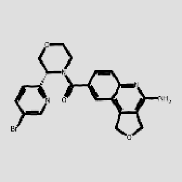 Nc1nc2ccc(C(=O)N3CCOC[C@H]3c3ccc(Br)cn3)cc2c2c1COC2